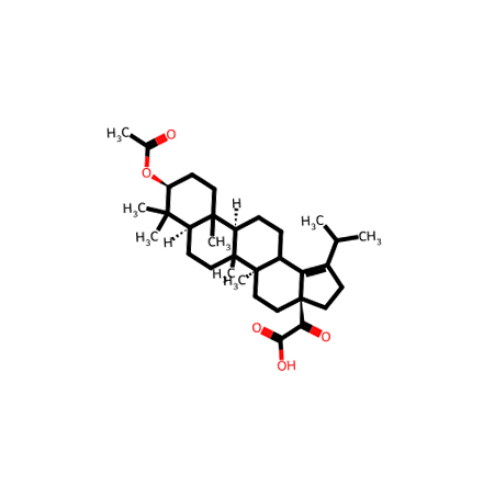 CC(=O)O[C@H]1CCC2(C)[C@H]3CCC4C5=C(C(C)C)CC[C@]5(C(=O)C(=O)O)CC[C@@]4(C)C3(C)CC[C@H]2C1(C)C